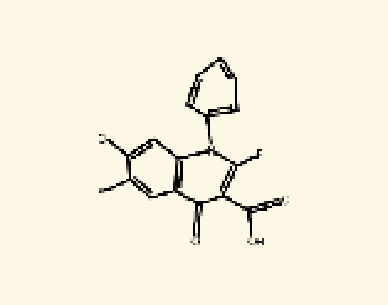 O=C(O)c1c(F)n(-c2ccccc2)c2cc(Cl)c(F)cc2c1=O